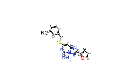 N#Cc1cccc(CSc2cc3nc(-c4ccco4)nn3c(N)n2)c1